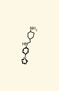 NC1CCC(CNc2ccc(-n3cccc3)cc2)CC1